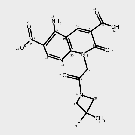 CC1(F)CN(C(=O)Cn2c(=O)c(C(=O)O)cc3c(N)c([N+](=O)[O-])cnc32)C1